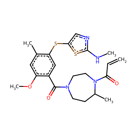 C=CC(=O)N1CCN(C(=O)c2cc(Sc3cnc(NC)s3)c(C)cc2OC)CCC1C